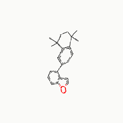 CC1(C)CCC(C)(C)c2cc(-c3cccc4occc34)ccc21